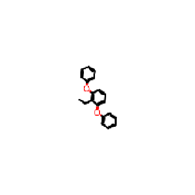 CCc1c(Oc2ccccc2)cccc1Oc1ccccc1